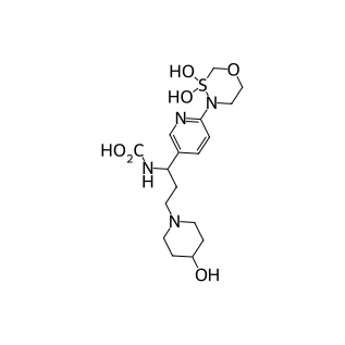 O=C(O)NC(CCN1CCC(O)CC1)c1ccc(N2CCOCS2(O)O)nc1